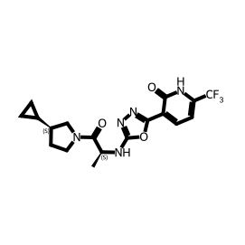 C[C@H](Nc1nnc(-c2ccc(C(F)(F)F)[nH]c2=O)o1)C(=O)N1CC[C@@H](C2CC2)C1